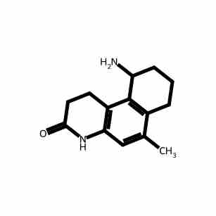 Cc1cc2c(c3c1CCCC3N)CCC(=O)N2